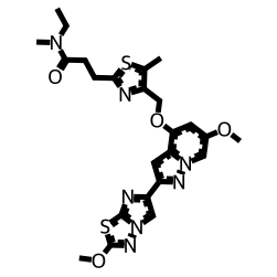 CCN(C)C(=O)CCc1nc(COc2cc(OC)cn3nc(-c4cn5nc(OC)sc5n4)cc23)c(C)s1